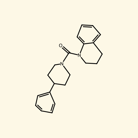 O=C(N1CCC(c2ccccc2)CC1)N1CCCc2ccccc21